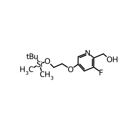 CC(C)(C)[Si](C)(C)OCCOc1cnc(CO)c(F)c1